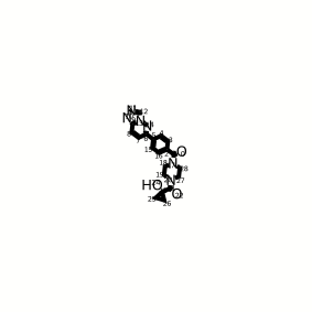 O=C(c1ccc(-c2ccc3nncn3n2)cc1)N1CCN(C(=O)C2(O)CC2)CC1